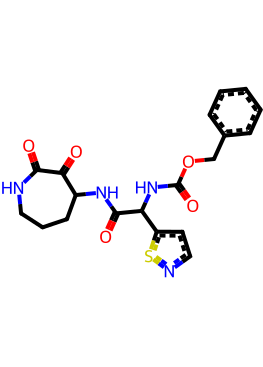 O=C(NC(C(=O)NC1CCCNC(=O)C1=O)c1ccns1)OCc1ccccc1